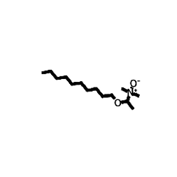 CCCCCCCCCCOC(C)[N+](C)(C)[O-]